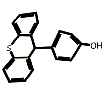 Oc1ccc(C2c3ccccc3Sc3ccccc32)cc1